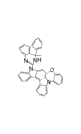 CC1(c2ccccc2)NC(n2c3ccccc3c3c4c5ccccc5n5c4c(cc32)Oc2ccccc2-5)=Nc2ccccc21